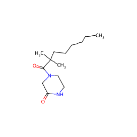 CCCCCCC(C)(C)C(=O)N1CCNC(=O)C1